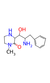 CN1CCNC(C(O)C(N)Cc2ccccc2)C1=O